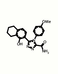 COc1ccc(-n2c(C(N)=O)nnc2-c2ccc3c(c2O)CCCC3)cc1